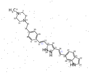 CN1CCN(CCc2ccc(/C=C/C3C=C(/C=C/c4ccc5cc[nH]c5c4)NN3)cc2)CC1